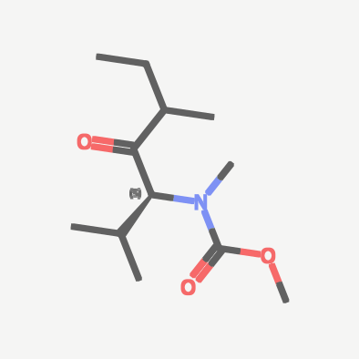 CCC(C)C(=O)[C@H](C(C)C)N(C)C(=O)OC